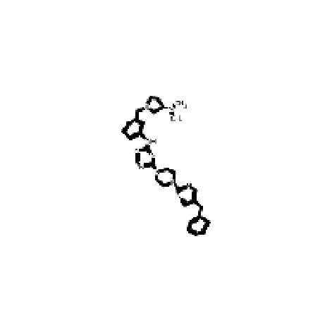 CN(C)[C@H]1CCN(Cc2cccc(Nc3ncnc(N4CCN(c5ncc(Cc6ccccc6)cn5)CC4)n3)c2)C1